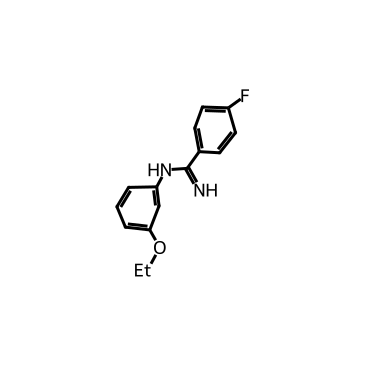 CCOc1cccc(NC(=N)c2ccc(F)cc2)c1